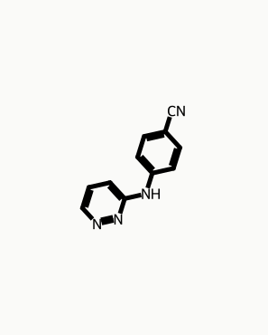 N#Cc1ccc(Nc2cccnn2)cc1